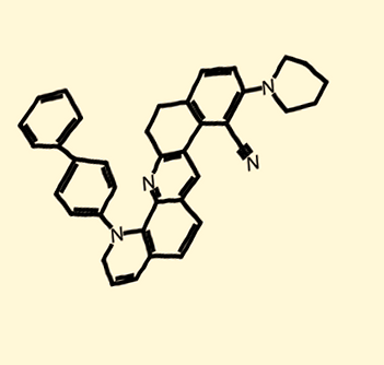 N#Cc1c(N2CCCCC2)ccc2c1-c1cc3ccc4c(c3nc1CC2)N(c1ccc(-c2ccccc2)cc1)CC=C4